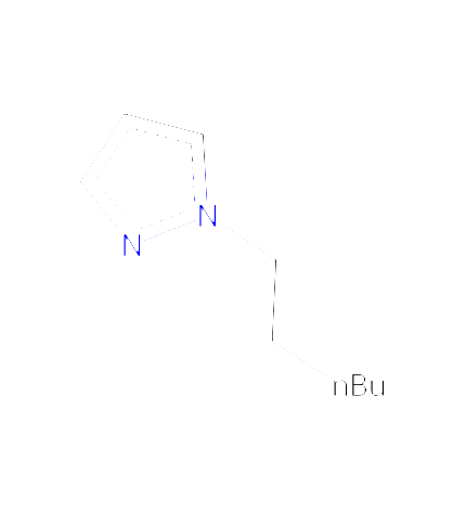 CCCCCCn1cccn1